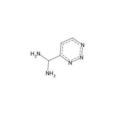 NC(N)c1ccnnn1